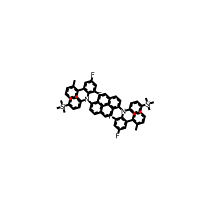 Cc1cccc(C)c1-c1cc(F)cc(F)c1N(c1ccc([Si](C)(C)C)cc1)c1ccc2ccc3c(N(c4ccc([Si](C)(C)C)cc4)c4c(F)cc(F)cc4-c4c(C)cccc4C)ccc4ccc1c2c43